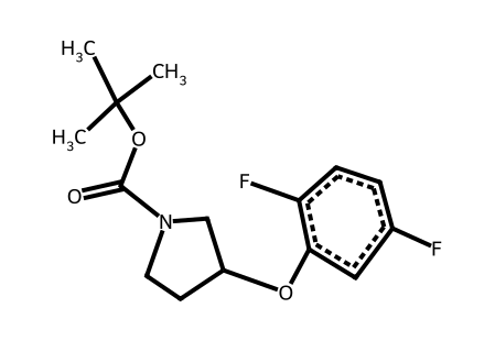 CC(C)(C)OC(=O)N1CCC(Oc2cc(F)ccc2F)C1